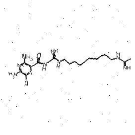 CC(=N)NCCCCCCCCNC(=N)NC(=O)c1nc(Cl)c(N)nc1N